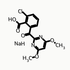 COc1cc(OC)nc(C(=O)c2cccc(Cl)c2C(=O)O)n1.[NaH]